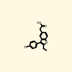 CCc1oc2ccc(CC(=O)O)cc2c1-c1ccc(Cl)cc1